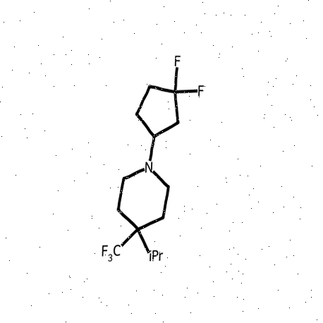 CC(C)C1(C(F)(F)F)CCN(C2CCC(F)(F)C2)CC1